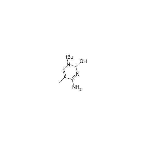 CC1=CN(C(C)(C)C)C(O)N=C1N